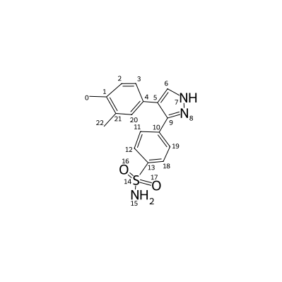 Cc1ccc(-c2c[nH]nc2-c2ccc(S(N)(=O)=O)cc2)cc1C